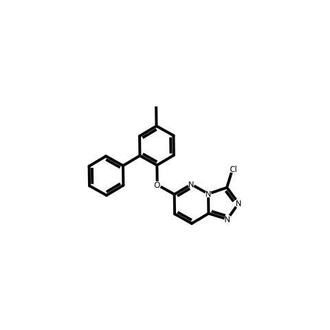 Cc1ccc(Oc2ccc3nnc(Cl)n3n2)c(-c2ccccc2)c1